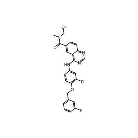 CN(CO)C(=O)c1ccc2ncnc(Nc3ccc(OCc4cccc(F)c4)c(Cl)c3)c2c1